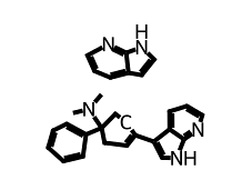 CN(C)C1(c2ccccc2)CC=C(c2c[nH]c3ncccc23)CC1.c1cnc2[nH]ccc2c1